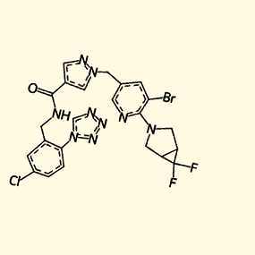 O=C(NCc1cc(Cl)ccc1-n1cnnn1)c1cnn(Cc2cnc(N3CC4C(C3)C4(F)F)c(Br)c2)c1